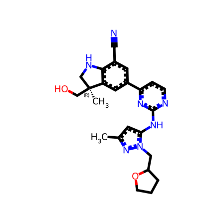 Cc1cc(Nc2nccc(-c3cc(C#N)c4c(c3)[C@@](C)(CO)CN4)n2)n(CC2CCCO2)n1